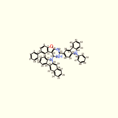 c1ccc(-c2ccc3oc4c(c3c2)C(n2c3ccccc3c3cc5ccccc5cc32)NC(c2ccc3c(c2)c2ccccc2n3-c2ccccc2)=N4)cc1